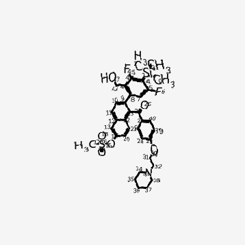 C[Si](C)(C)c1c(F)cc(-c2ccc3cc(OS(C)(=O)=O)ccc3c2C(=O)c2ccc(OCCN3CCCCC3)cc2)c(CO)c1F